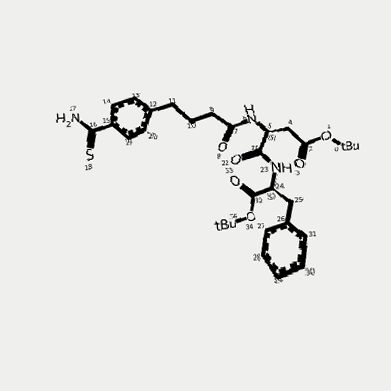 CC(C)(C)OC(=O)C[C@H](NC(=O)CCCc1ccc(C(N)=S)cc1)C(=O)N[C@@H](Cc1ccccc1)C(=O)OC(C)(C)C